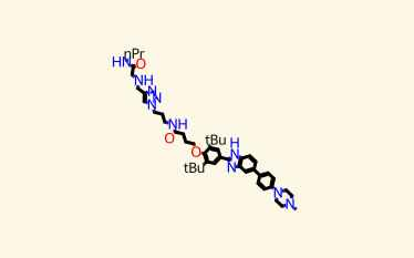 CCCNC(=O)CNCc1cn(CCCNC(=O)CCCOc2c(C(C)(C)C)cc(-c3nc4cc(-c5ccc(N6CCN(C)CC6)cc5)ccc4[nH]3)cc2C(C)(C)C)nn1